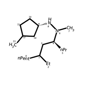 CCCCCC(CC)C[C@H](CCC)N(C)N[C@H]1CCC(C)C1